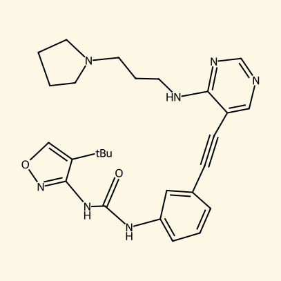 CC(C)(C)c1conc1NC(=O)Nc1cccc(C#Cc2cncnc2NCCCN2CCCC2)c1